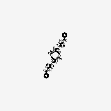 O=C(Nc1ncnc2c1ncn2[C@@H]1O[C@@H]2CO[PH](=O)O[C@@H]3C(CO[P@@](=O)(S)O[C@H]2[C@H]1F)O[C@@H](n1cnc2c(NC(=O)c4ccccc4)ncnc21)[C@@H]3F)c1ccccc1